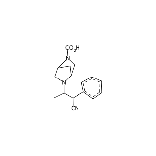 CC(C(C#N)c1ccccc1)N1CC2CC1CN2C(=O)O